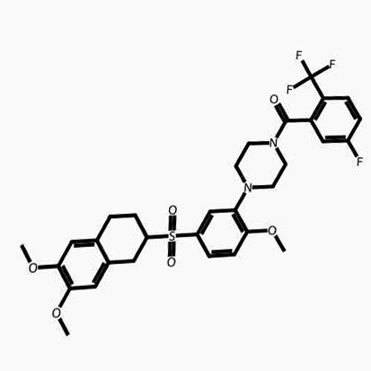 COc1cc2c(cc1OC)CC(S(=O)(=O)c1ccc(OC)c(N3CCN(C(=O)c4cc(F)ccc4C(F)(F)F)CC3)c1)CC2